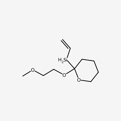 C=C[SiH2]C1(OCCOC)CCCCO1